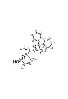 COC(CO[Si](c1ccccc1)(c1ccccc1)C(C)(C)C)C1OC(O)C(C)=CC1C